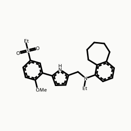 CCN(Cc1ccc(-c2cc(S(=O)(=O)CC)ccc2OC)[nH]1)c1cccc2c1CCCCC2